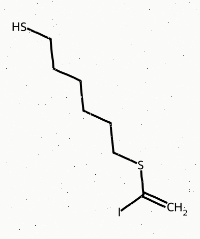 C=C(I)SCCCCCCS